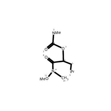 CNC(=O)OC(CC(C)C)C(=O)N(C)OC